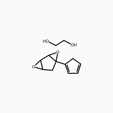 C1=CCC(C23CC4OC4C2O3)=C1.OCCO